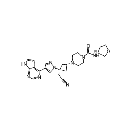 N#CC[C@]1(n2cc(-c3ncnc4[nH]ccc34)cn2)C[C@H](N2CCN(C(=O)N[C@@H]3CCOC3)CC2)C1